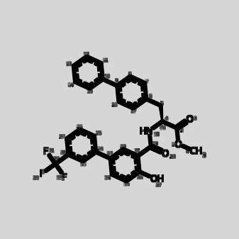 COC(=O)[C@H](Cc1ccc(-c2ccccc2)cc1)NC(=O)c1cc(-c2cccc(C(F)(F)F)c2)ccc1O